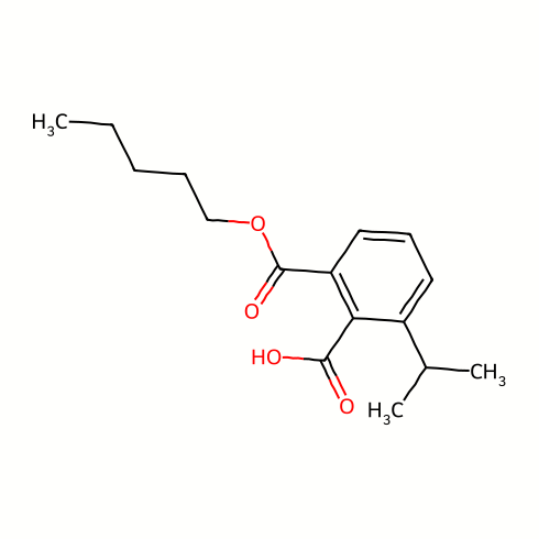 CCCCCOC(=O)c1cccc(C(C)C)c1C(=O)O